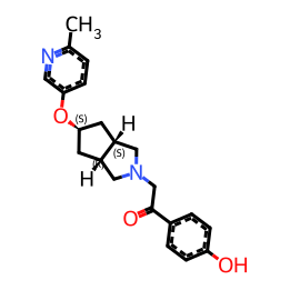 Cc1ccc(O[C@H]2C[C@@H]3CN(CC(=O)c4ccc(O)cc4)C[C@@H]3C2)cn1